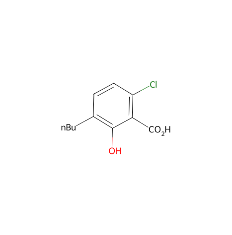 CCCCc1ccc(Cl)c(C(=O)O)c1O